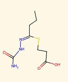 CCCC(=NNC(N)=O)SCCC(=O)O